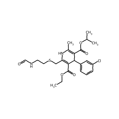 CCOC(=O)C1=C(CSCCNC=O)NC(C)=C(C(=O)OC(C)C)C1c1cccc(Cl)c1